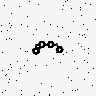 c1ccc(Sc2ccc(-c3ccc4sc5ccccc5c4c3)cc2)cc1